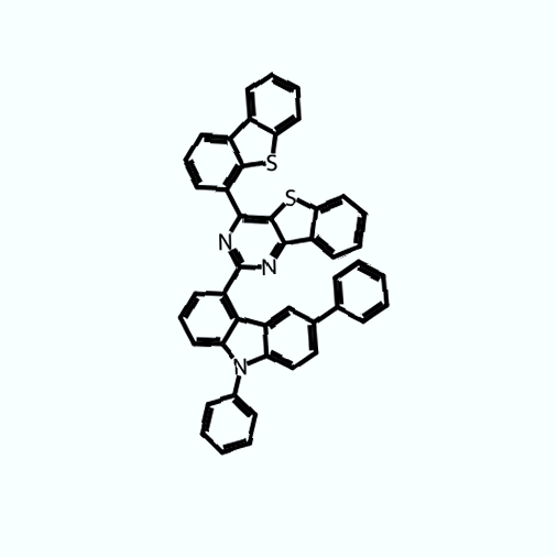 c1ccc(-c2ccc3c(c2)c2c(-c4nc(-c5cccc6c5sc5ccccc56)c5sc6ccccc6c5n4)cccc2n3-c2ccccc2)cc1